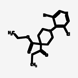 CCOC(=O)C1(C(=O)CC)CCN(c2c(Cl)cncc2Br)CC1